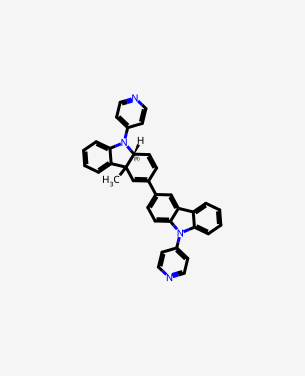 CC12C=C(c3ccc4c(c3)c3ccccc3n4-c3ccncc3)C=C[C@H]1N(c1ccncc1)c1ccccc12